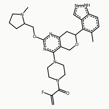 C=C(F)C(=O)N1CCN(c2nc(OCC3CCCN3C)nc3c2COC(c2c(C)ccc4[nH]ncc24)C3)CC1